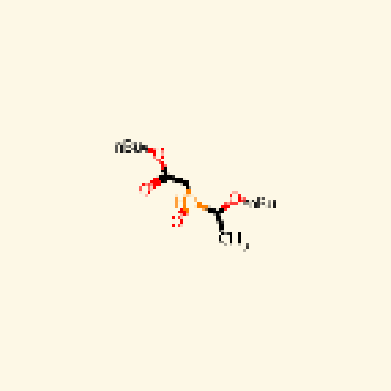 CCCCOC(=O)C[PH](=O)C(C)OCCCC